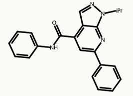 CC(C)n1ncc2c(C(=O)Nc3ccccc3)cc(-c3ccccc3)nc21